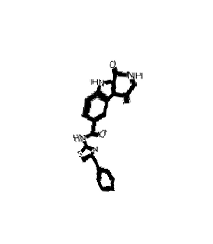 CC1CNC(=O)c2[nH]c3ccc(C(=O)Nc4nc(-c5ccccc5)cs4)cc3c21